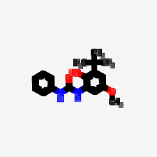 COc1cc(NC(=O)Nc2ccccc2)c(O)c(C(C)(C)C)c1